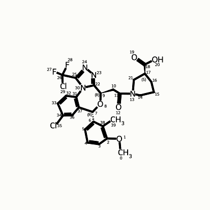 COc1cccc([C@H]2O[C@H](CC(=O)N3CCC[C@H](C(=O)O)C3)c3nnc(C(F)(F)Cl)n3-c3ccc(Cl)cc32)c1C